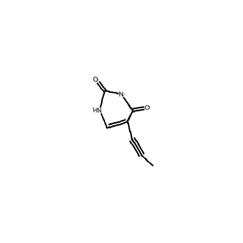 CC#CC1=CNC(=O)[N]C1=O